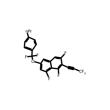 CCCc1ccc(C(F)(F)Oc2cc(F)c3c(F)c(C#CC(F)(F)F)c(F)cc3c2)cc1